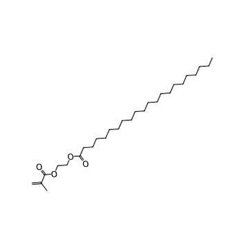 C=C(C)C(=O)OCCOC(=O)CCCCCCCCCCCCCCCCCCCCC